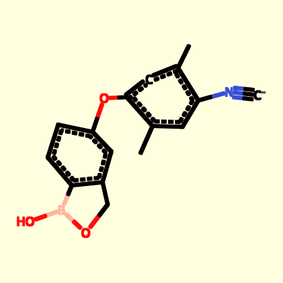 [C-]#[N+]c1cc(C)c(Oc2ccc3c(c2)COB3O)cc1C